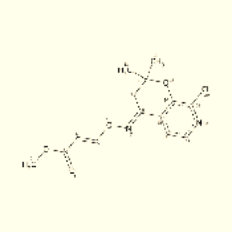 COC(=O)/C=C/O/N=C1\CC(C)(C)Oc2c1ccnc2Cl